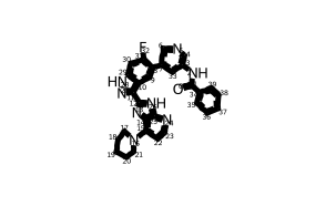 O=C(Nc1cncc(-c2cc3c(-c4nc5c(N6CCCCC6)ccnc5[nH]4)n[nH]c3cc2F)c1)c1ccccc1